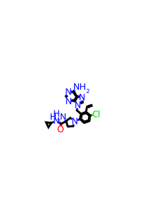 C=Cc1c(Cl)ccc(N2CCC(N)(C(=O)NC3CC3)C2)c1Cn1cnc2c(N)ncnc21